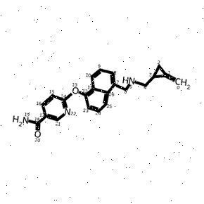 C=C1CC1CNCc1cccc2c(Oc3ccc(C(N)=O)cn3)cccc12